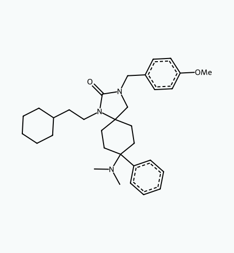 COc1ccc(CN2CC3(CCC(c4ccccc4)(N(C)C)CC3)N(CCC3CCCCC3)C2=O)cc1